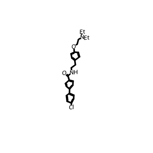 CCN(CC)CCOc1ccc(CCNC(=O)c2ccc(-c3ccc(Cl)cc3)cc2)cc1